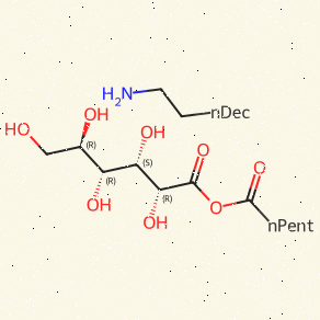 CCCCCC(=O)OC(=O)[C@H](O)[C@@H](O)[C@H](O)[C@H](O)CO.CCCCCCCCCCCCN